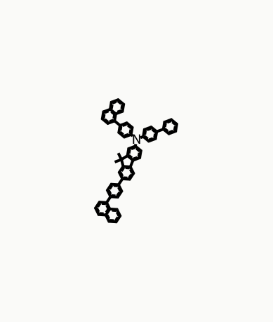 CC1(C)c2cc(-c3ccc(-c4cccc5ccccc45)cc3)ccc2-c2ccc(N(c3ccc(-c4ccccc4)cc3)c3ccc(-c4cccc5ccccc45)cc3)cc21